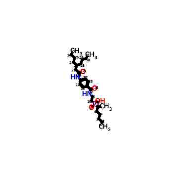 CCCCCC(C)P(=O)(O)CCNC(=O)c1ccc(NC(=O)CC(CCCC)CCCC)cc1